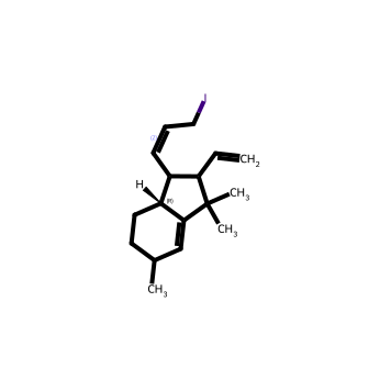 C=CC1C(/C=C\CI)[C@H]2CCC(C)C=C2C1(C)C